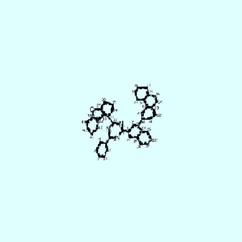 c1ccc(-c2nc(-c3cc(-c4ccc5ccc6ccccc6c5c4)c4ccccc4c3)nc(-c3cccc4oc5ccccc5c34)n2)cc1